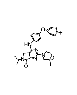 CC1CN(c2nc(Nc3ccc(Oc4ccc(F)cc4)cc3)c3c(n2)C(=O)N(C(C)C)C3)CCO1